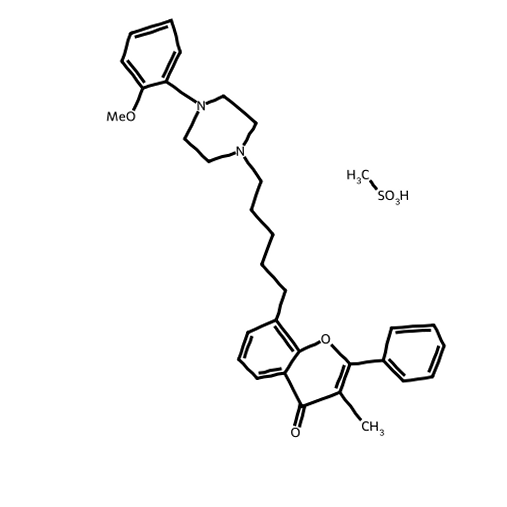 COc1ccccc1N1CCN(CCCCCc2cccc3c(=O)c(C)c(-c4ccccc4)oc23)CC1.CS(=O)(=O)O